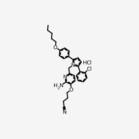 CCCCCOc1ccc(-c2ccc(-c3ccccc3Cl)n2Cc2ccc(OCCCC#N)c(N)n2)cc1.Cl